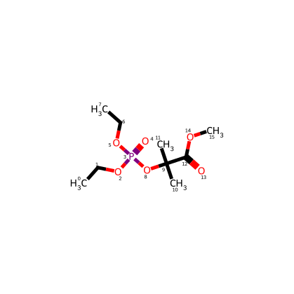 CCOP(=O)(OCC)OC(C)(C)C(=O)OC